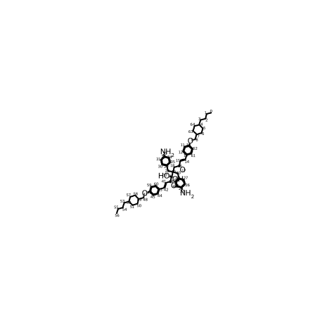 CCCCC1CCC(COc2ccc(/C=C/C(=O)CC(Cc3ccc(N)cc3)(Cc3ccc(N)cc3)C(O)(O)C(=O)/C=C/c3ccc(OCC4CCC(CCCC)CC4)cc3)cc2)CC1